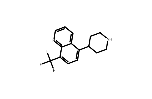 FC(F)(F)c1ccc(C2CCNCC2)c2cccnc12